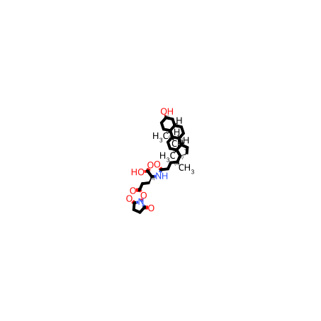 C[C@H](CCC(=O)N[C@@H](CCC(=O)ON1C(=O)CCC1=O)C(=O)O)[C@H]1CC[C@H]2[C@@H]3CC[C@@H]4C[C@H](O)CC[C@]4(C)[C@@]3(C)CC[C@]12C